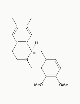 COC1=C(OC)C2CN3CCc4cc(C)c(C)cc4[C@H]3CC2C=C1